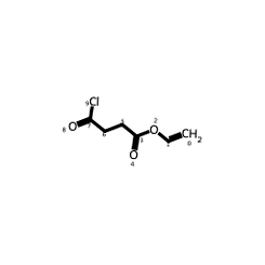 C=COC(=O)CCC(=O)Cl